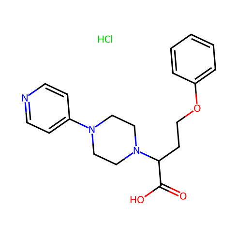 Cl.O=C(O)C(CCOc1ccccc1)N1CCN(c2ccncc2)CC1